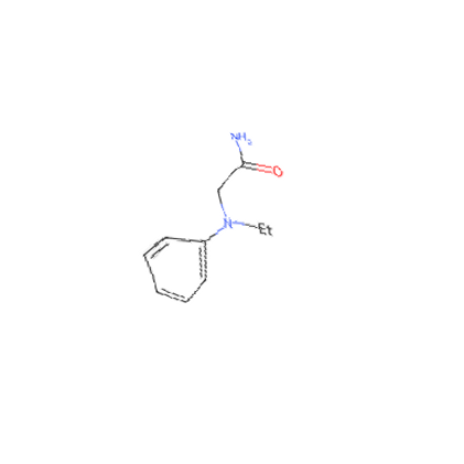 CCN(CC(N)=O)c1ccccc1